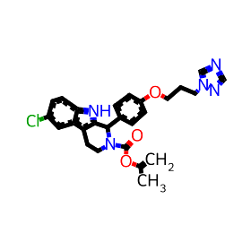 C=C(C)OC(=O)N1CCc2c([nH]c3ccc(Cl)cc23)C1c1ccc(OCCCn2cncn2)cc1